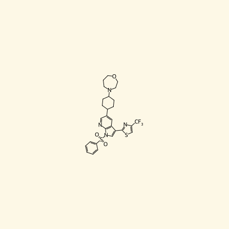 O=S(=O)(c1ccccc1)n1cc(-c2nc(C(F)(F)F)cs2)c2cc(C3CCC(N4CCCOCC4)CC3)cnc21